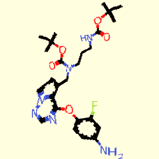 CC(C)(C)OC(=O)NCCCN(Cc1ccn2ncnc(Oc3ccc(N)cc3F)c12)C(=O)OC(C)(C)C